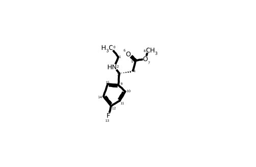 CCN[C@H](CC(=O)OC)c1ccc(F)cc1